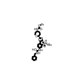 CC(C)OC(=O)N[C@H]1CCO[C@H](C2=NCC(c3ccc(NC(O)NCc4ccccc4)cc3S(=O)(=O)NC(C)(C)C)S2)CC1